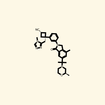 Cc1cc(C(C)(C)N2CCO[C@H](C)C2)cc2c1CN(c1cccc([C@]3(Cc4nncn4C)C[C@@H](C#N)C3)c1)C2=O